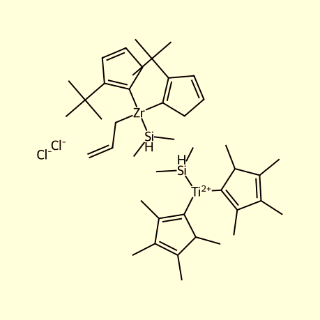 C=C[CH2][Zr]([C]1=C(C(C)(C)C)C=CC1)([C]1=C(C(C)(C)C)C=CC1)[SiH](C)C.CC1=C(C)C(C)[C]([Ti+2]([C]2=C(C)C(C)=C(C)C2C)[SiH](C)C)=C1C.[Cl-].[Cl-]